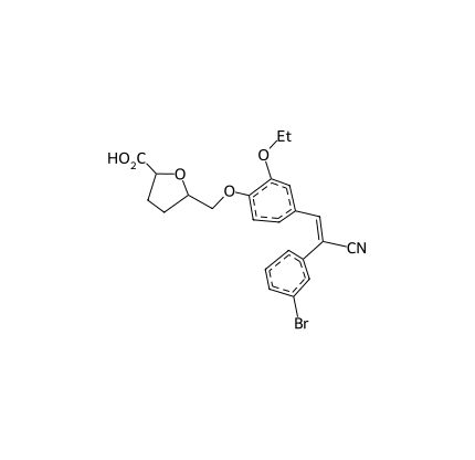 CCOc1cc(/C=C(/C#N)c2cccc(Br)c2)ccc1OCC1CCC(C(=O)O)O1